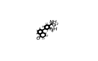 CNc1cc(-c2cccc3c2CCCC3=O)ccc1C(N)=O